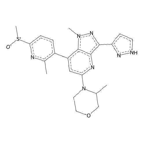 Cc1nc([S+](C)[O-])ccc1-c1cc(N2CCOCC2C)nc2c(-c3cc[nH]n3)nn(C)c12